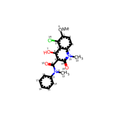 COc1ccc2c(c(O)c(C(=O)N(C)c3ccccc3)c(=O)n2C)c1Cl